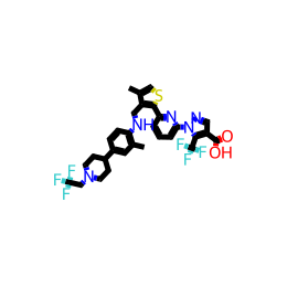 Cc1cc(C2CCN(CC(F)(F)F)CC2)ccc1NCc1c(C)csc1-c1cccc(-n2ncc(C(=O)O)c2C(F)(F)F)n1